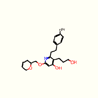 CCCc1ccc(CCc2nc(OCC3CCCCO3)cc(O)c2CCCO)cc1